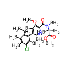 BCc1c(B)c(B)c(Cl)c(B)c1-c1c(B)nc(C(=O)N(B)C(B)(B)C(=O)OB)c(OB)c1B